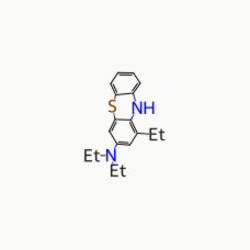 CCc1cc(N(CC)CC)cc2c1Nc1ccccc1S2